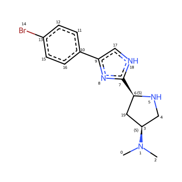 CN(C)[C@@H]1CN[C@H](c2nc(-c3ccc(Br)cc3)c[nH]2)C1